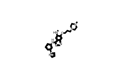 CNc1cc2c(Nc3cccc(-n4cccn4)c3)ncnc2cc1OCCCN1CCN(C)CC1